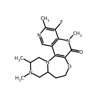 Cc1ncc2c3c(c(=O)n(C)c2c1F)OCCC1CN(C)C(C)CN31